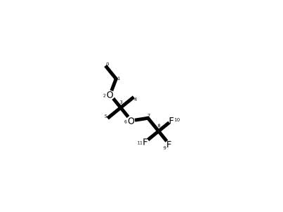 CCOC(C)(C)OCC(F)(F)F